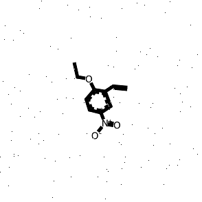 C=[C]c1cc([N+](=O)[O-])ccc1OCC